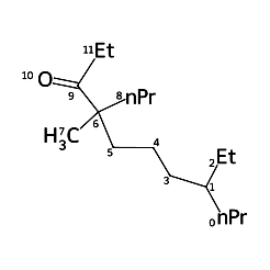 CCCC(CC)CCCC(C)(CCC)C(=O)CC